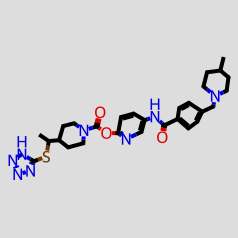 CC1CCN(Cc2ccc(C(=O)Nc3ccc(OC(=O)N4CCC(C(C)Sc5nnn[nH]5)CC4)nc3)cc2)CC1